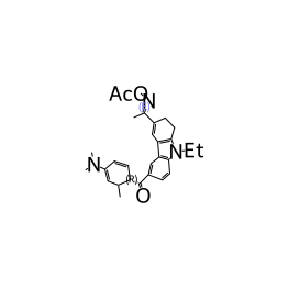 CCn1c2c(c3cc(C(=O)[C@H]4C=CC(N(C)C)=CC4C)ccc31)C=C(/C(C)=N/OC(C)=O)CC2